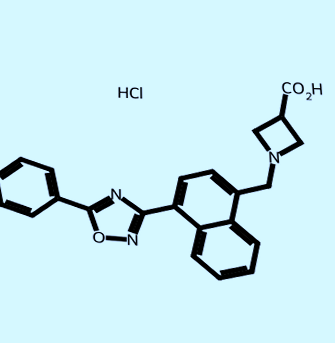 Cl.O=C(O)C1CN(Cc2ccc(-c3noc(-c4ccccc4)n3)c3ccccc23)C1